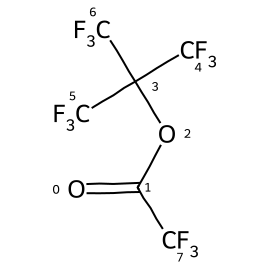 O=C(OC(C(F)(F)F)(C(F)(F)F)C(F)(F)F)C(F)(F)F